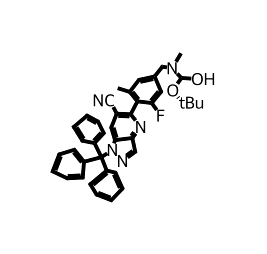 Cc1cc(CN(C)C(O)OC(C)(C)C)cc(F)c1-c1nc2cnn(C(c3ccccc3)(c3ccccc3)c3ccccc3)c2cc1C#N